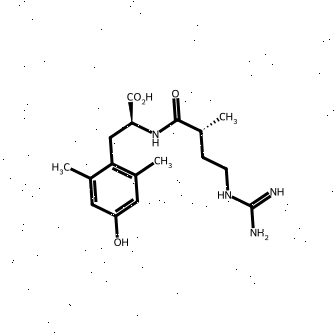 Cc1cc(O)cc(C)c1C[C@H](NC(=O)[C@H](C)CCNC(=N)N)C(=O)O